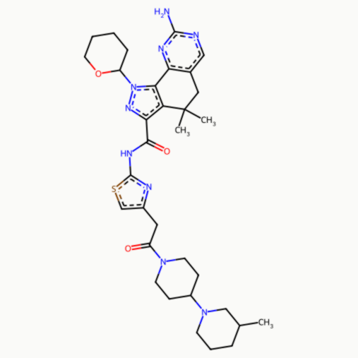 CC1CCCN(C2CCN(C(=O)Cc3csc(NC(=O)c4nn(C5CCCCO5)c5c4C(C)(C)Cc4cnc(N)nc4-5)n3)CC2)C1